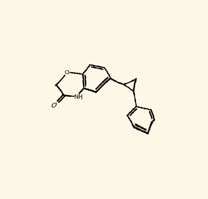 O=C1COc2ccc(C3CC3c3ccccc3)cc2N1